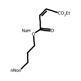 CCCCCCCCCCCCOC(=O)/C=C\C(=O)OCC.[NaH]